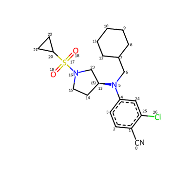 N#Cc1ccc(N(CC2CCCCC2)[C@H]2CCN(S(=O)(=O)C3CC3)C2)cc1Cl